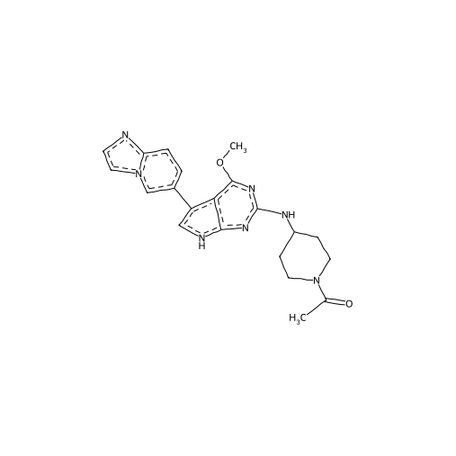 COc1nc(NC2CCN(C(C)=O)CC2)nc2[nH]cc(-c3ccc4nccn4c3)c12